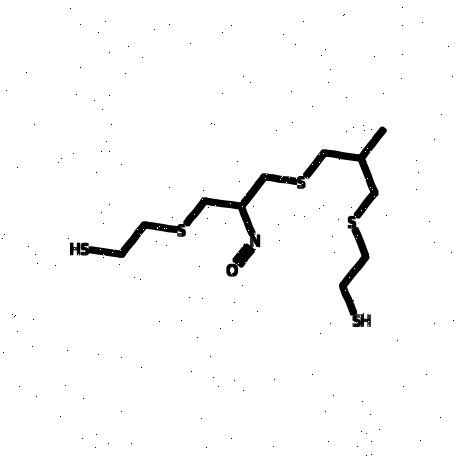 CC(CSCCS)CSCC(CSCCS)N=O